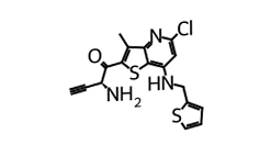 C#C[C@H](N)C(=O)c1sc2c(NCc3cccs3)cc(Cl)nc2c1C